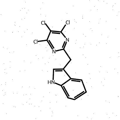 Clc1nc(Cc2c[nH]c3ccccc23)nc(Cl)c1Cl